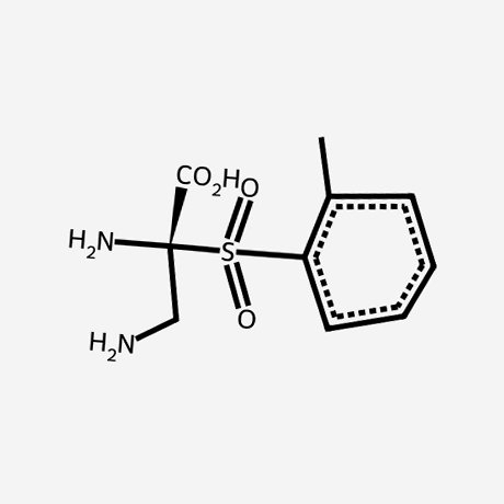 Cc1ccccc1S(=O)(=O)[C@@](N)(CN)C(=O)O